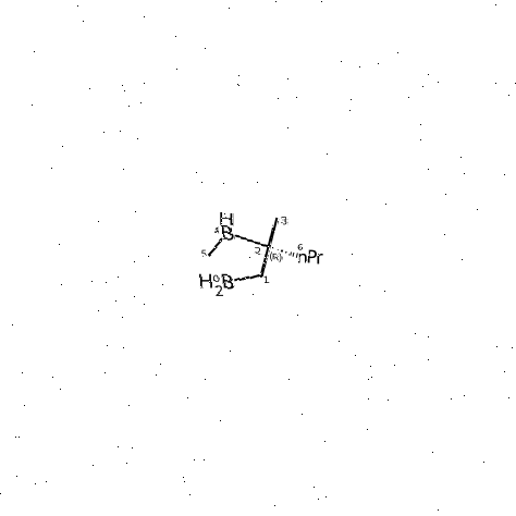 BC[C@](C)(BC)CCC